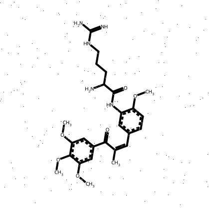 COc1ccc(C=C(C)C(=O)c2cc(OC)c(OC)c(OC)c2)cc1NC(=O)C(N)CCCNC(=N)N